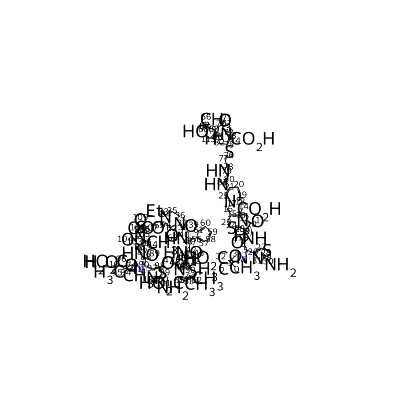 CC(C)(O/N=C(\C(=O)N[C@@H]1C(=O)N2C(C(=O)O)=C(C[n+]3ccccc3)CS[C@H]12)c1csc(N)n1)C(=O)O.CCN1CCN(C(=O)N[C@@H](C(=O)N[C@@H]2C(=O)N3[C@@H]2SC(C)(C)[C@@H]3C(=O)O)c2ccccc2)C(=O)C1=O.C[C@@H](O)[C@H]1C(=O)N2C(C(=O)O)=C(SCCNC=N)C[C@H]12.C[C@H]1[C@H](NC(=O)/C(=N\OC(C)(C)C(=O)O)c2csc(N)n2)C(=O)N1S(=O)(=O)[O-].O